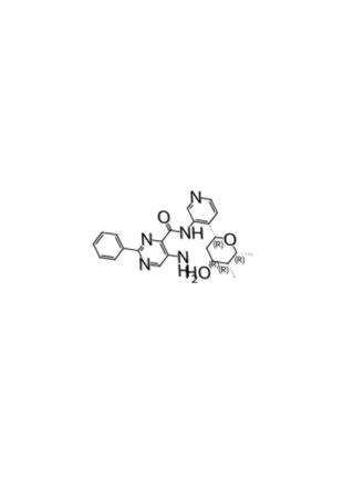 C[C@@H]1[C@H](O)C[C@H](c2ccncc2NC(=O)c2nc(-c3ccccc3)ncc2N)O[C@@H]1C